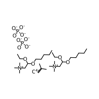 C=C(C)C.CCCCCOC(C[N+](C)(C)C)OCC.CCCCCOC(C[N+](C)(C)C)OCC.O=P([O-])([O-])[O-].O=P([O-])([O-])[O-].[C+4]